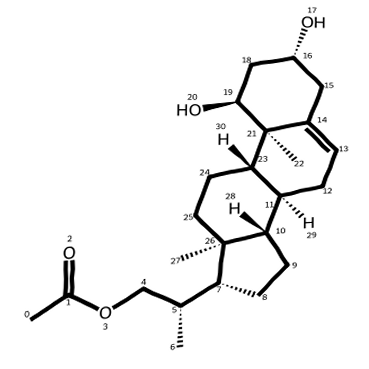 CC(=O)OC[C@@H](C)[C@H]1CC[C@H]2[C@@H]3CC=C4C[C@@H](O)C[C@H](O)[C@]4(C)[C@H]3CC[C@]12C